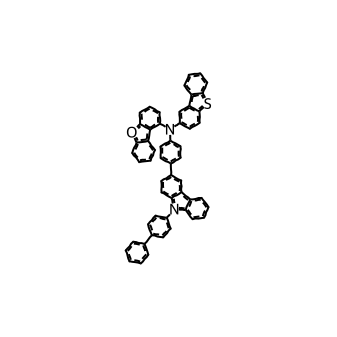 c1ccc(-c2ccc(-n3c4ccccc4c4cc(-c5ccc(N(c6ccc7sc8ccccc8c7c6)c6cccc7oc8ccccc8c67)cc5)ccc43)cc2)cc1